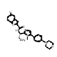 CC(=O)OC[C@H](NC(=O)c1cc2cc(Cl)ccc2o1)c1ncc(-c2ccc(N3CCOCC3)cc2)n1C